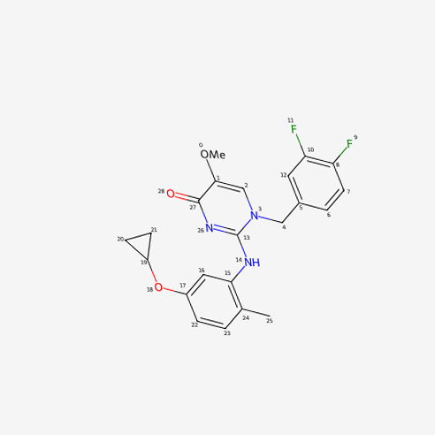 COc1cn(Cc2ccc(F)c(F)c2)c(Nc2cc(OC3CC3)ccc2C)nc1=O